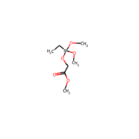 CC[Si](OC)(OC)OCC(=O)OC